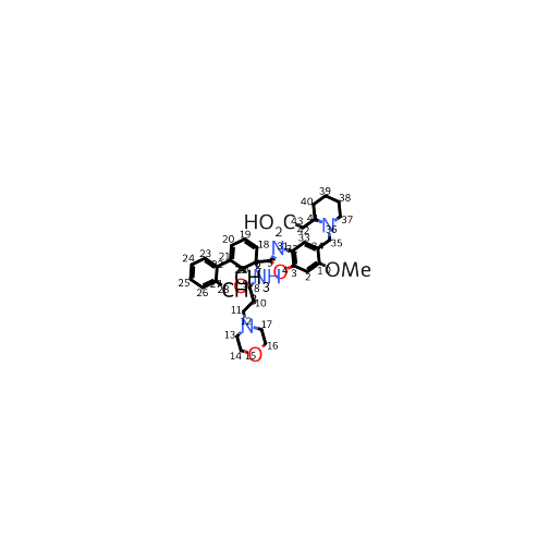 COc1cc2oc(C3(NC(=O)CCN4CCOCC4)C=CC=C(c4ccccc4C)C3C)nc2cc1CN1CCCCC1CC(=O)O